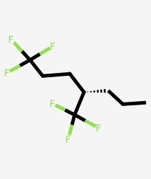 CCC[C@@H](CCC(F)(F)F)C(F)(F)F